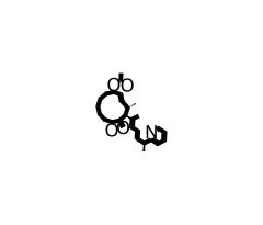 CC(=O)O[C@H]1/C=C/[C@H](C)[C@@H](/C(C)=C/C=C/[C@H](C)c2ccccn2)C(=O)C(=O)CCCCC1